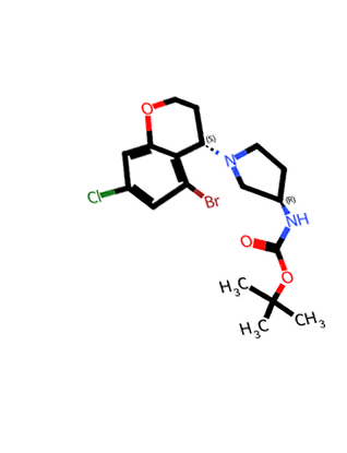 CC(C)(C)OC(=O)N[C@@H]1CCN([C@H]2CCOc3cc(Cl)cc(Br)c32)C1